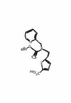 CC(C)(C)OC(=O)N(Cc1ccccn1)Cc1ccc(C(=O)O)s1